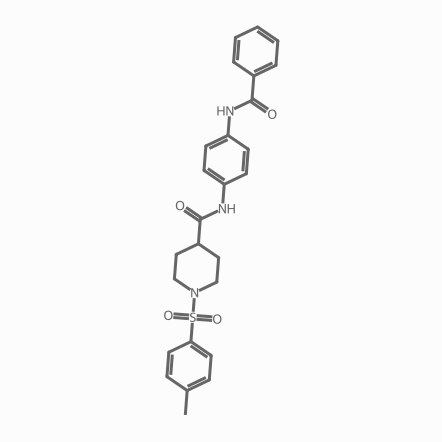 Cc1ccc(S(=O)(=O)N2CCC(C(=O)Nc3ccc(NC(=O)c4ccccc4)cc3)CC2)cc1